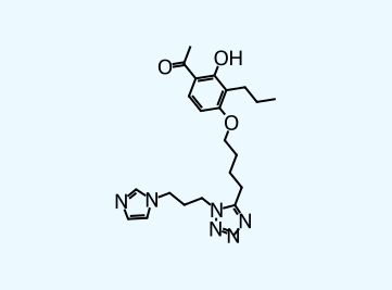 CCCc1c(OCCCCc2nnnn2CCCn2ccnc2)ccc(C(C)=O)c1O